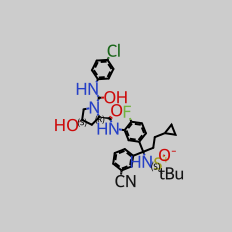 CC(C)(C)[S@@+]([O-])NC(CCC1CC1)(c1cccc(C#N)c1)c1ccc(F)c(NC(=O)[C@H]2C[C@H](O)CN2C(O)Nc2ccc(Cl)cc2)c1